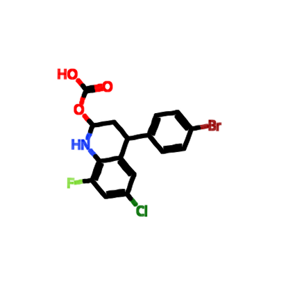 O=C(O)OC1CC(c2ccc(Br)cc2)c2cc(Cl)cc(F)c2N1